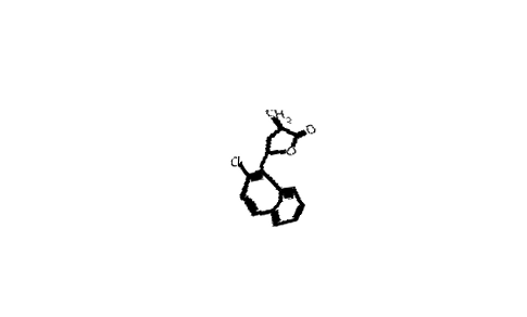 C=C1CC(c2c(Cl)ccc3ccccc23)OC1=O